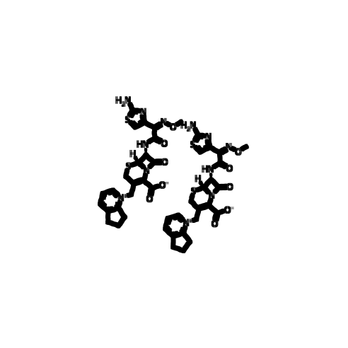 CO/N=C(\C(=O)N[C@@H]1C(=O)N2C(C(=O)[O-])=C(C[n+]3cccc4c3CCC4)CS[C@H]12)c1csc(N)n1.CO/N=C(\C(=O)N[C@@H]1C(=O)N2C(C(=O)[O-])=C(C[n+]3cccc4c3CCC4)CS[C@H]12)c1csc(N)n1